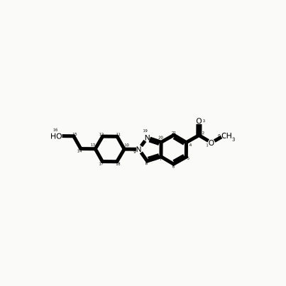 COC(=O)c1ccc2cn(C3CCC(CCO)CC3)nc2c1